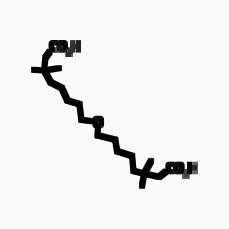 CC(C)(CCCCCOCCCCCC(C)(C)CC(=O)O)CC(=O)O